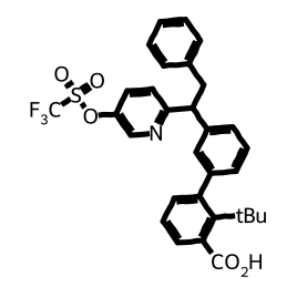 CC(C)(C)c1c(C(=O)O)cccc1-c1cccc(C(Cc2ccccc2)c2ccc(OS(=O)(=O)C(F)(F)F)cn2)c1